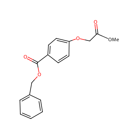 COC(=O)COc1ccc(C(=O)OCc2ccccc2)cc1